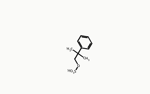 CC(C)(COS(=O)(=O)O)c1ccccc1